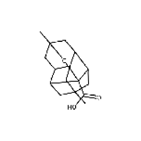 CC12CC3C4CC5(C)CC3C(C1)C(C(=O)O)(C5)C4C2